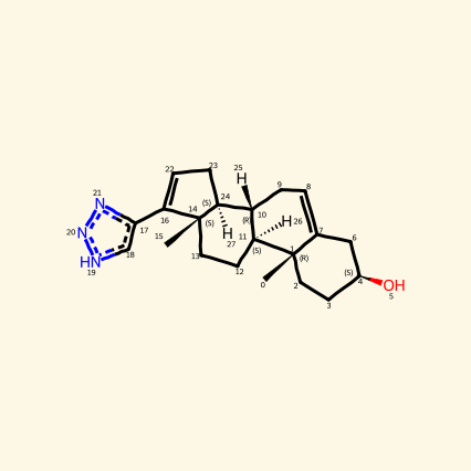 C[C@]12CC[C@H](O)CC1=CC[C@@H]1[C@@H]2CC[C@]2(C)C(c3c[nH]nn3)=CC[C@@H]12